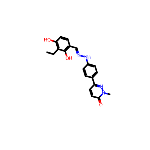 CCc1c(O)ccc(C=NNc2ccc(-c3ccc(=O)n(C)n3)cc2)c1O